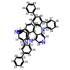 N#Cc1cccc(-c2c(-n3c4ccccc4c4cc(-c5ccccc5)ccc43)cncc2-n2c3ccccc3c3cc(-c4ccccc4)ccc32)c1C#N